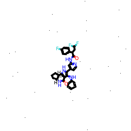 O=C1N[C@@H]2CCC[C@@H]2c2[nH]c(-c3ccnc(NC(=O)C(CC(F)F)c4ccc(F)cc4)c3)c(Nc3ccccc3)c21